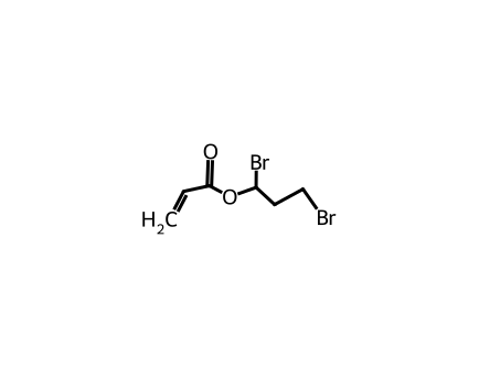 C=CC(=O)OC(Br)CCBr